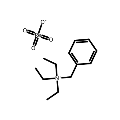 CC[N+](CC)(CC)Cc1ccccc1.[O]=[Re](=[O])(=[O])[O-]